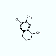 Cc1nc2c(cc1Cl)CCCC2O